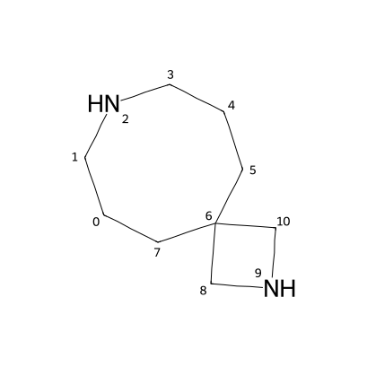 C1CNCCCC2(C1)CNC2